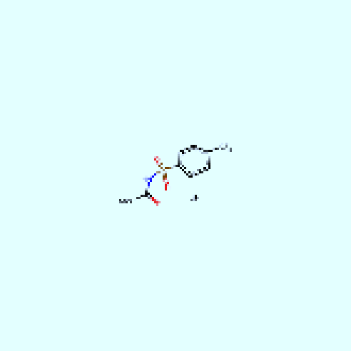 COC(=O)NS(=O)(=O)c1ccc(C(F)(F)F)cc1.[LiH]